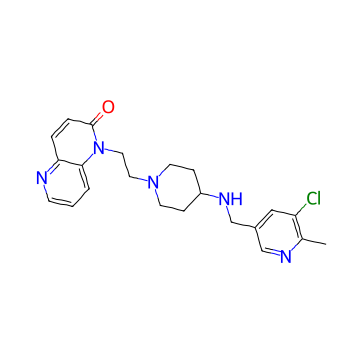 Cc1ncc(CNC2CCN(CCn3c(=O)ccc4ncccc43)CC2)cc1Cl